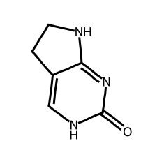 O=c1nc2c(c[nH]1)CCN2